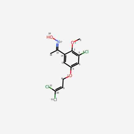 COc1c(Cl)cc(OCC=C(Cl)Cl)cc1/C(C)=N/O